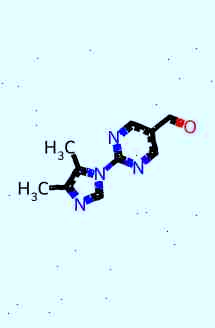 Cc1ncn(-c2ncc(C=O)cn2)c1C